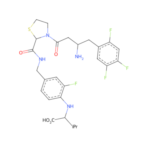 CC(C)C(Nc1ccc(CNC(=O)C2SCCN2C(=O)CC(N)Cc2cc(F)c(F)cc2F)cc1F)C(=O)O